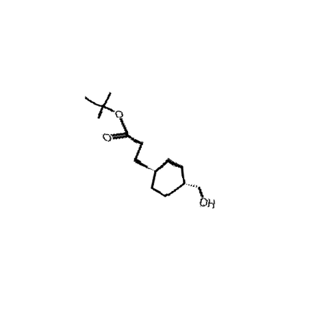 CC(C)(C)OC(=O)CC[C@H]1CC[C@H](CO)CC1